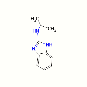 CC(C)Nc1nc2ccccc2[nH]1